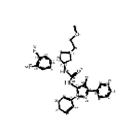 COCCN1C[C@@H](NC(=O)Nc2c(C)c(-c3cccnc3)nn2C2=CCCC=C2)[C@H](c2ccc(F)c(F)c2)C1